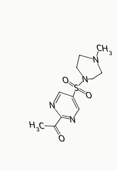 CC(=O)c1ncc(S(=O)(=O)N2CCN(C)CC2)cn1